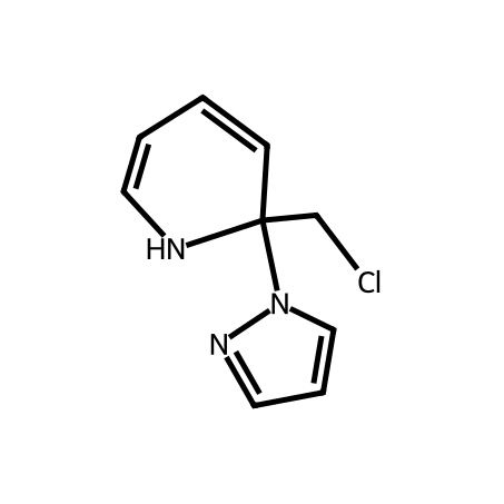 ClCC1(n2cccn2)C=CC=CN1